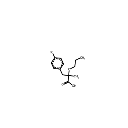 CCCOC(C)(Cc1ccc(Br)cc1)C(=O)O